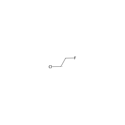 FC[CH]Cl